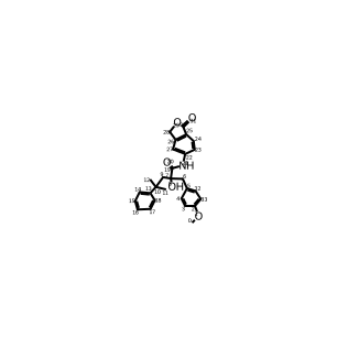 COc1ccc(CC(O)(CC(C)(C)c2ccccc2)C(=O)Nc2ccc3c(c2)COC3=O)cc1